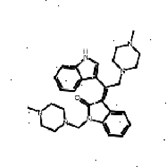 CN1CCN(CC(=C2C(=O)N(CN3CCN(C)CC3)c3ccccc32)c2c[nH]c3ccccc23)CC1